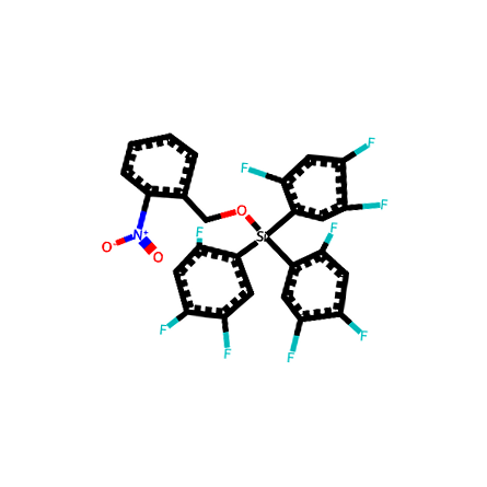 O=[N+]([O-])c1ccccc1CO[Si](c1cc(F)c(F)cc1F)(c1cc(F)c(F)cc1F)c1cc(F)c(F)cc1F